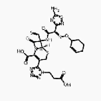 Nc1nc(C(=NOC2C=CCCC2)C(=O)NC2(C=S)C(=O)N3C(C(=O)O)=C(c4nnnn4CCC(=O)O)CS[C@H]32)ns1